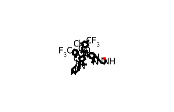 Cc1nc(N2CCNCC2)nc2ccc(N(C(=O)C(Oc3ccc(C(F)(F)F)cc3Cl)Oc3ccc(C(F)(F)F)cc3Cl)c3ccc4nc(N5CCN(C)CC5)nc(C)c4c3)cc12